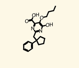 CCCCOc1c(O)nc(CC2(c3ccccc3)CCCC2)nc1C(=O)O